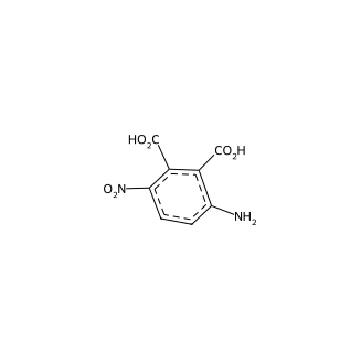 Nc1ccc([N+](=O)[O-])c(C(=O)O)c1C(=O)O